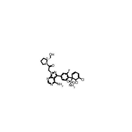 Nc1ncnc2c1c(-c1ccc(C3(S(N)(=O)=O)C=CC=C(Cl)C3Cl)c(F)c1)nn2CC(=O)N1CCC[C@@H]1CO